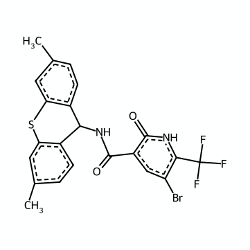 Cc1ccc2c(c1)Sc1cc(C)ccc1C2NC(=O)c1cc(Br)c(C(F)(F)F)[nH]c1=O